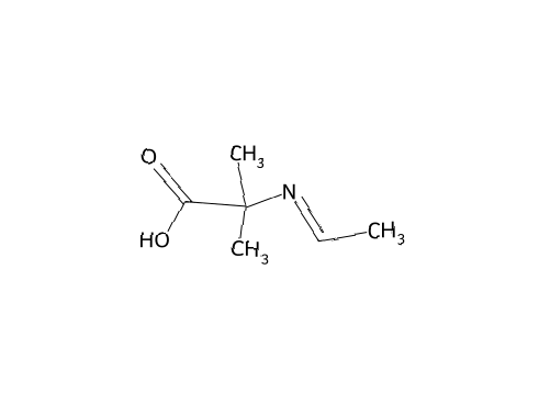 C/C=N/C(C)(C)C(=O)O